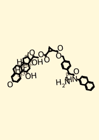 C[C@@H]1C[C@H]2[C@@H]3CCC4=CC(=O)C=C[C@]4(C)[C@@]3(F)[C@@H](O)C[C@]2(C)[C@@]1(O)C(=O)COC(=O)C1CC1C(=O)OCc1ccc([C@@H](CN)C(=O)Nc2ccc3ccccc3c2)cc1